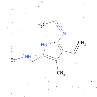 C=Cc1c(/N=C\C)[nH]c(CNCC)c1C